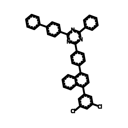 Clc1cc(Cl)cc(-c2ccc(-c3ccc(-c4nc(-c5ccccc5)nc(-c5ccc(-c6ccccc6)cc5)n4)cc3)c3ccccc23)c1